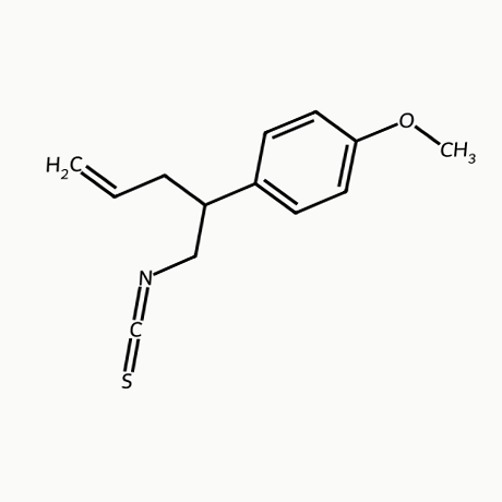 C=CCC(CN=C=S)c1ccc(OC)cc1